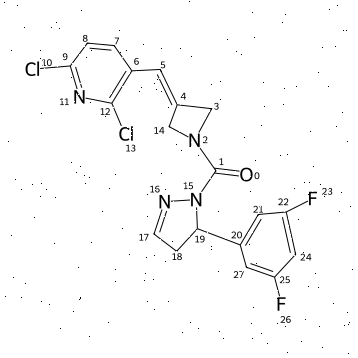 O=C(N1CC(=Cc2ccc(Cl)nc2Cl)C1)N1N=CCC1c1cc(F)cc(F)c1